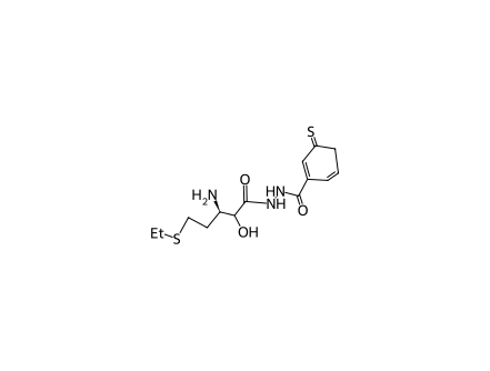 CCSCC[C@@H](N)C(O)C(=O)NNC(=O)C1=CC(=S)CC=C1